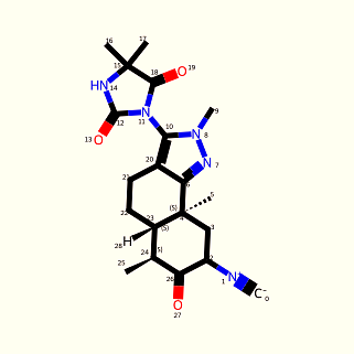 [C-]#[N+]C1C[C@]2(C)c3nn(C)c(N4C(=O)NC(C)(C)C4=O)c3CC[C@H]2[C@H](C)C1=O